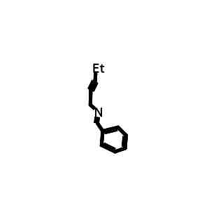 CCC#CCN=Cc1ccccc1